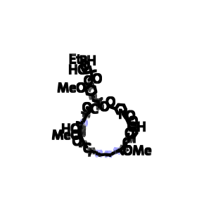 CCBOCC(C)(CO)C(=O)O[C@@H]1CC[C@@H](C[C@@H](C)[C@@H]2CC(=O)[C@H](C)/C=C(\C)[C@@H](O)[C@@H](OC)C(=O)[C@H](C)C[C@H](C)/C=C/C=C/C=C(\C)[C@@H](OC)C[C@@H]3CC[C@@H](C)[C@@](O)(O3)C(=O)C(=O)N3CCCC(C3)C(=O)O2)C[C@H]1OC